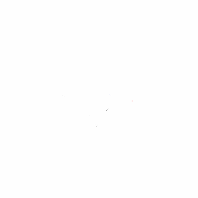 COc1cc(C#N)ccc1C[C@H](CO)NC(=O)OC(C)(C)C